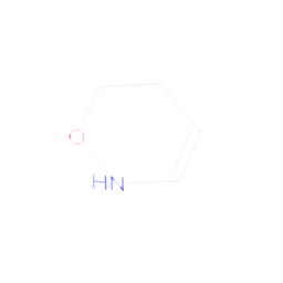 C1=CNOCC1